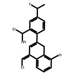 CC/C=C1/C=C(c2ccc(C(C)F)cc2C(CC)CCC)Cc2c1cccc2C(C)C